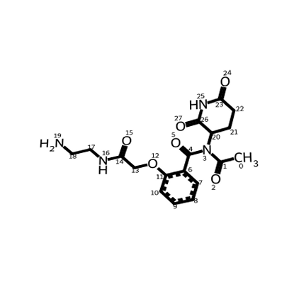 CC(=O)N(C(=O)c1ccccc1OCC(=O)NCCN)C1CCC(=O)NC1=O